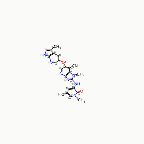 Cc1c[nH]c2ncc(Oc3cnc4nc(Nc5cc(C(F)(F)F)cn(C)c5=O)n(C)c4c3C#N)cc12